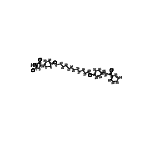 O=C1C=C(c2ccc(OCCCCCCCCCCCCOc3ccc(C=CC(=O)c4ccccc4)cc3)cc2)C(=O)N1